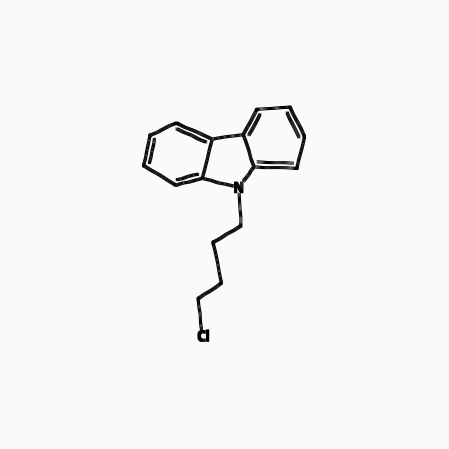 ClCCCCn1c2ccccc2c2ccccc21